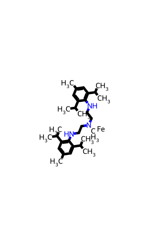 Cc1cc(C(C)C)c(NCCN(C)CCNc2c(C(C)C)cc(C)cc2C(C)C)c(C(C)C)c1.[Fe]